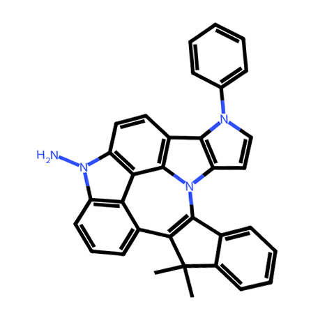 CC1(C)c2ccccc2-c2c1c1cccc3c1c1c(ccc4c5c(ccn5-c5ccccc5)n2c41)n3N